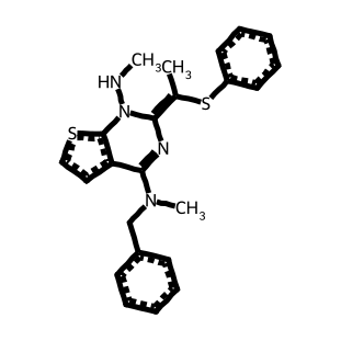 CNN1/C(=C(\C)Sc2ccccc2)N=C(N(C)Cc2ccccc2)c2ccsc21